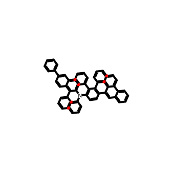 c1ccc(-c2ccc3c(-c4ccccc4)c(N(c4ccccc4)c4ccc(-c5cc6ccccc6c6ccccc56)c(-c5ccccc5)c4-c4ccccc4)ccc3c2)cc1